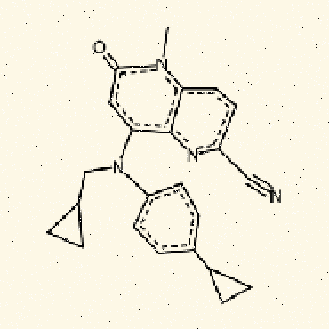 Cn1c(=O)cc(N(CC2CC2)c2ccc(C3CC3)cc2)c2nc(C#N)ccc21